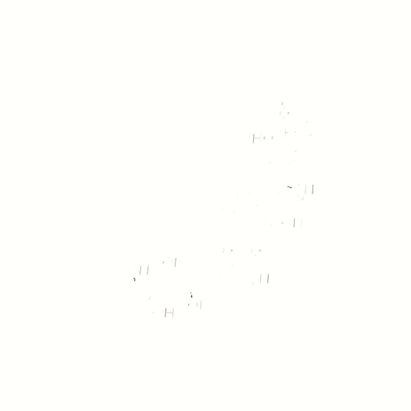 O=C[C@@H](O)[C@@H](O)[C@H](O)[C@H](O)COP(=O)(O)O[C@H](C=O)[C@@H](O)[C@H](O)[C@H](O)COP(=O)(O)O